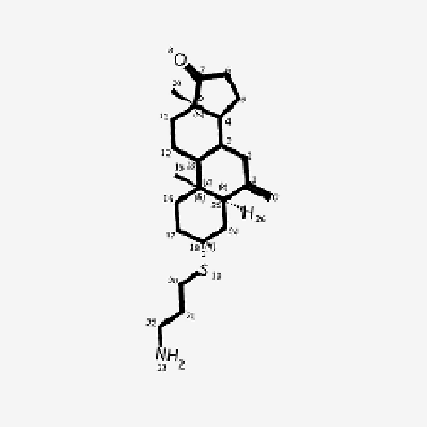 C=C1CC2C3CCC(=O)[C@@]3(C)CCC2[C@@]2(C)CC[C@@H](SCCCN)C[C@H]12